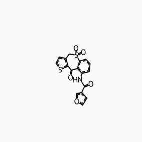 O=C(Nc1cccc2c1C(=O)c1sccc1CS2(=O)=O)c1ccoc1